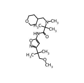 COCC(C)(C)c1cc(NC(=O)C(C)(C)N(C)CC2CCOCC2)on1